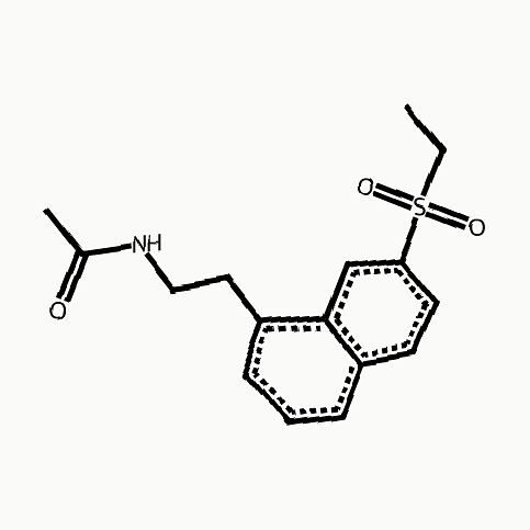 CCS(=O)(=O)c1ccc2cccc(CCNC(C)=O)c2c1